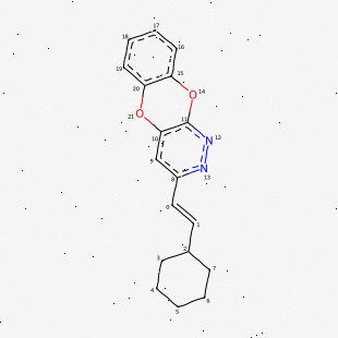 C(=C\C1CCCCC1)/c1cc2c(nn1)Oc1ccccc1O2